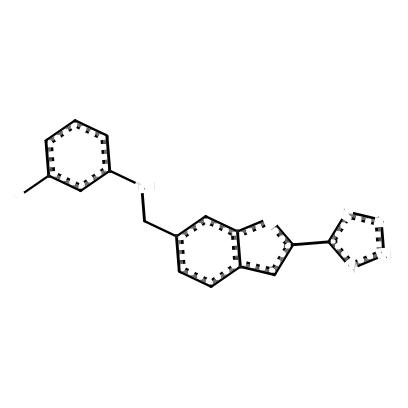 Brc1cccc(NCc2ccc3cc(-c4nn[nH]n4)oc3c2)c1